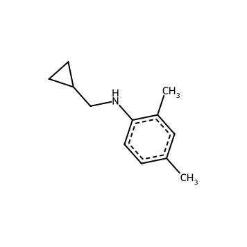 Cc1ccc(NCC2CC2)c(C)c1